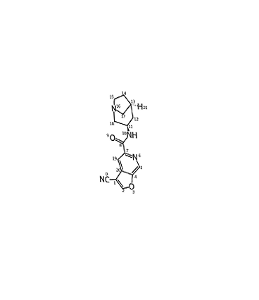 N#Cc1coc2cnc(C(=O)N[C@@H]3C[C@@H]4CCN(C4)C3)cc12